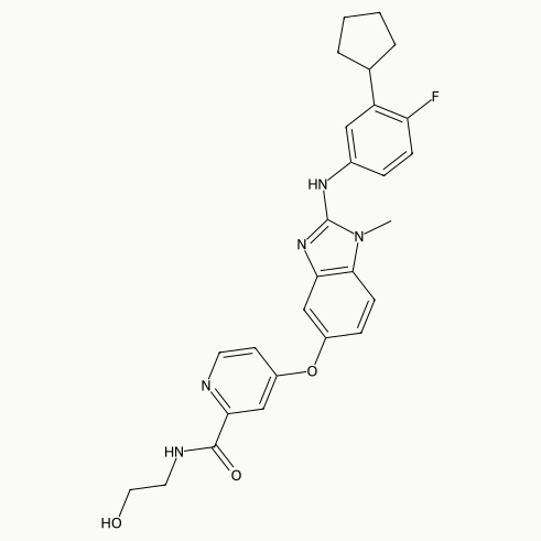 Cn1c(Nc2ccc(F)c(C3CCCC3)c2)nc2cc(Oc3ccnc(C(=O)NCCO)c3)ccc21